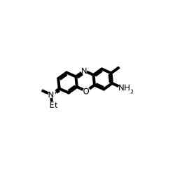 CC/[N+](C)=c1/ccc2nc3cc(C)c(N)cc3oc-2c1